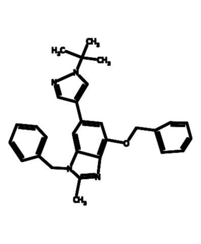 Cc1nc2c(OCc3ccccc3)cc(-c3cnn(C(C)(C)C)c3)cc2n1Cc1ccccc1